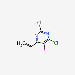 C=Cc1nc(Cl)nc(Cl)c1I